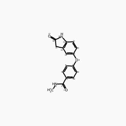 CNC(=O)c1ccc(Oc2ccc3c(c2)CC(=O)N3)cc1